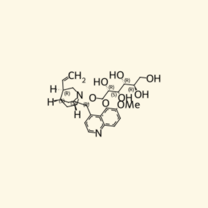 C=C[C@H]1CN2CC[C@H]1C[C@H]2[C@H](OC(=O)[C@H](O)[C@@H](O)[C@H](O)[C@H](O)CO)c1ccnc2ccc(OC)cc12